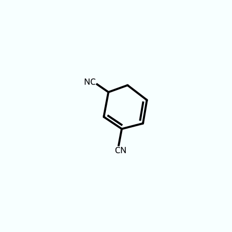 N#CC1=CC(C#N)CC=C1